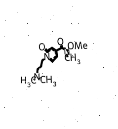 CON(C)C(=O)c1ccn(CCCN(C)C)c(=O)c1